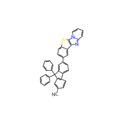 N#Cc1ccc2c(c1)C(c1ccccc1)(c1ccccc1)c1cc(-c3ccc4sc5c(nc6ccccn65)c4c3)ccc1-2